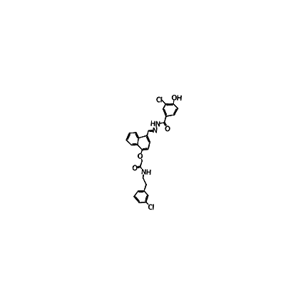 O=C(COc1ccc(/C=N/NC(=O)c2ccc(O)c(Cl)c2)c2ccccc12)NCCc1cccc(Cl)c1